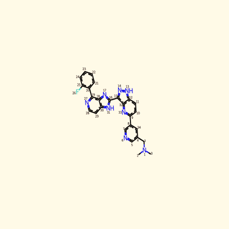 CN(C)Cc1cncc(-c2ccc3[nH]nc(-c4nc5c(-c6ccccc6F)nccc5[nH]4)c3n2)c1